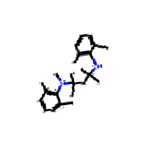 Cc1cccc(C)c1NC(C)(C)CC(C)(C)N(C)c1c(C)cccc1C